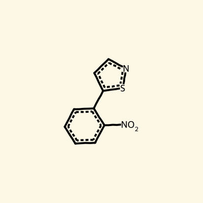 O=[N+]([O-])c1ccccc1-c1ccns1